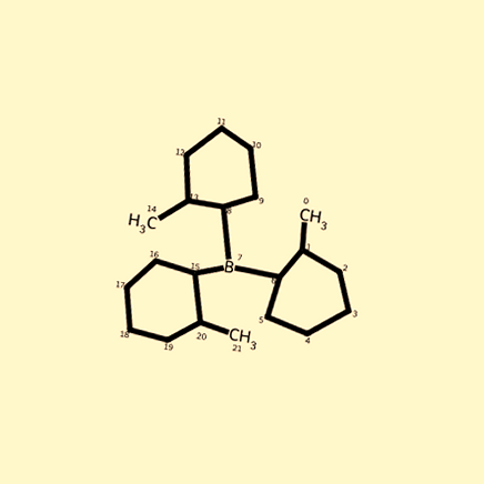 CC1CCCCC1B(C1CCCCC1C)C1CCCCC1C